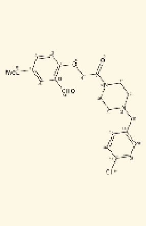 COc1ccc(OCC(=O)N2CCN(Cc3ccc(Cl)cc3)CC2)c(C=O)c1